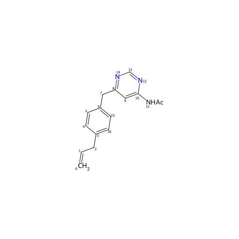 C=CCc1ccc(Cc2cc(NC(C)=O)ncn2)cc1